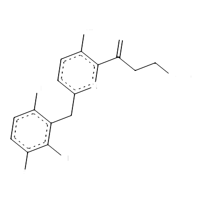 CCOC(=O)CCC(=O)c1nc(Cc2c(Cl)ccc(F)c2Cl)ccc1O